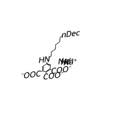 CCCCCCCCCCCCCCCCNc1cc(C(=O)[O-])c(C(=O)[O-])c(C(=O)[O-])c1.[Na+].[Na+].[Na+]